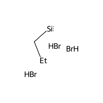 Br.Br.Br.CCC[Si]